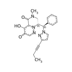 CCC#Cc1ccn([C@H](c2ccccc2)[C@H]2CN(C)C(=O)c3c(O)c(=O)cnn32)n1